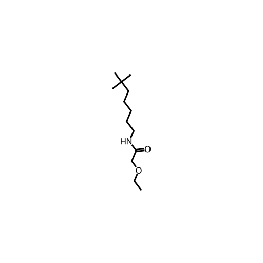 CCOCC(=O)NCCCCCC(C)(C)C